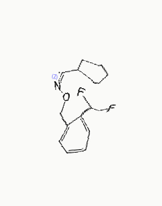 FC(F)c1ccccc1CO/N=[C]\C1CCCC1